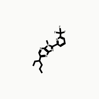 CCCC(CC)c1cnc2c(n1)nc(-c1cccc(C(F)(F)F)n1)n2C